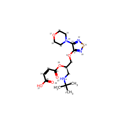 CC(C)(C)NC[C@H](COc1nsnc1N1CCOCC1)OC(=O)/C=C\C(=O)O